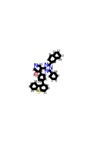 c1ccc(-c2nc(-c3ccc4ccccc4c3)nc(-c3cncc4oc5cc(-c6cccc7sc8ccccc8c67)ccc5c34)n2)cc1